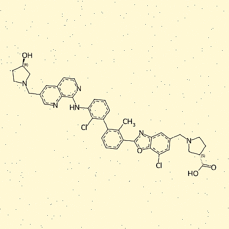 Cc1c(-c2nc3cc(CN4CC[C@H](C(=O)O)C4)cc(Cl)c3o2)cccc1-c1cccc(Nc2nccc3cc(CN4CC[C@@H](O)C4)cnc23)c1Cl